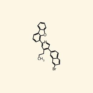 CCCc1cc(-c2cccc3c2oc2ccccc23)ncc1-c1ccc2ccc(Br)cc2c1